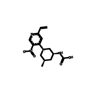 C=Cc1cc(N2C[C@H](C)C[C@H](NC(=O)O)C2)c([N+](=O)[O-])cn1